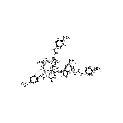 CC(OCCc1ccc([N+](=O)[O-])cc1)O[C@@H]1[C@@H]2O[Si](C(C)C)(C(C)C)O[Si](C(C)C)(C(C)C)OC(C(=O)OCCc3ccc([N+](=O)[O-])cc3)[C@H]2O[C@H]1n1cnc2c(OCCc3ccc([N+](=O)[O-])cc3)nc(N)nc21